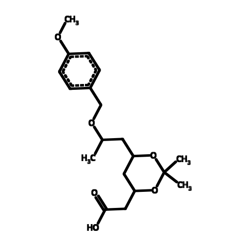 COc1ccc(COC(C)CC2CC(CC(=O)O)OC(C)(C)O2)cc1